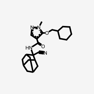 Cn1ncc(C(=O)NC2(C#N)C3CC4CC(C3)CC2C4)c1OCC1CCCCC1